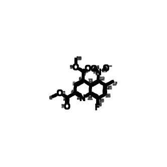 COC(=O)c1cc(C(=O)OC)c2c([N+](=O)[O-])c(C)cc(F)c2n1